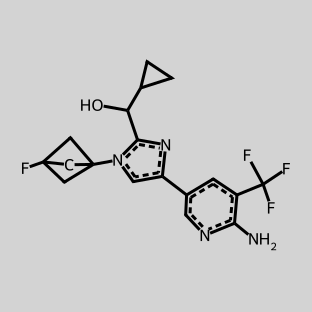 Nc1ncc(-c2cn(C34CC(F)(C3)C4)c(C(O)C3CC3)n2)cc1C(F)(F)F